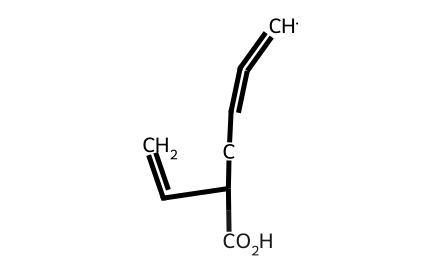 [CH]=C=CCC(C=C)C(=O)O